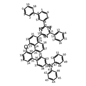 c1ccc(-c2cccc(-c3nc(-c4ccccc4)nc(-c4ccc5c6c(cccc46)-c4c(cccc4-c4ccc(N(c6ccccc6)c6ccccc6)cc4)O5)n3)c2)cc1